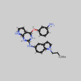 COCCn1ccc2cc(Nc3nc(Oc4cccc(N)c4)c4cc[nH]c4n3)ccc21